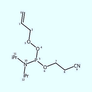 C=CCOOP(OCCC#N)N(C(C)C)C(C)C